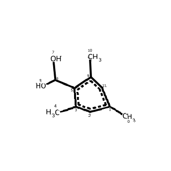 Cc1cc(C)c(C(O)O)c(C)c1